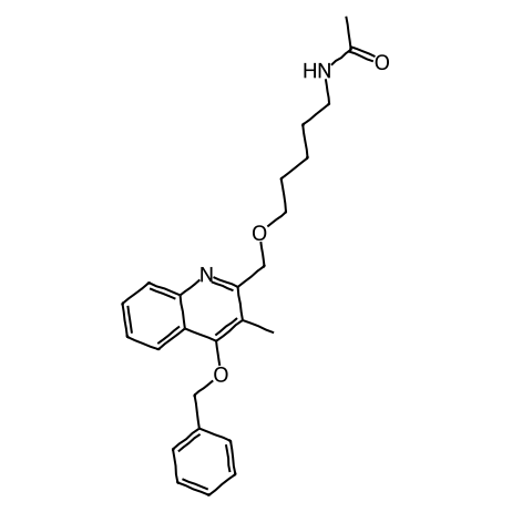 CC(=O)NCCCCCOCc1nc2ccccc2c(OCc2ccccc2)c1C